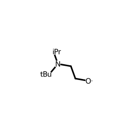 CC(C)N(CC[O])C(C)(C)C